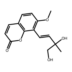 COc1ccc2ccc(=O)oc2c1/C=C/C(C)(O)CO